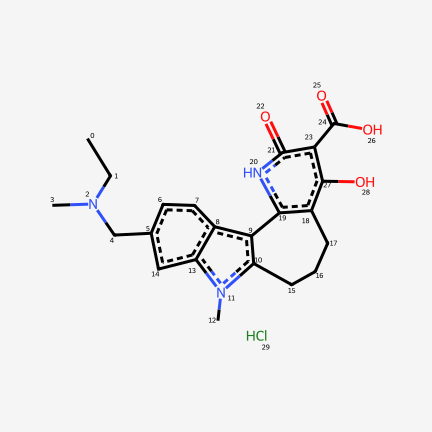 CCN(C)Cc1ccc2c3c(n(C)c2c1)CCCc1c-3[nH]c(=O)c(C(=O)O)c1O.Cl